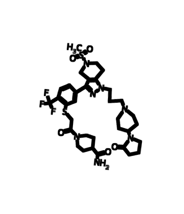 CS(=O)(=O)N1CCc2c(c(-c3ccc(C(F)(F)F)c(SCC(=O)N4CCC(C(N)=O)CC4)c3)nn2CCCN2CCC(N3CCCC3=O)CC2)C1